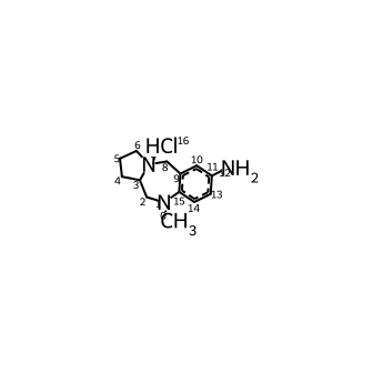 CN1CC2CCCN2Cc2cc(N)ccc21.Cl